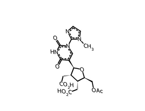 CC(=O)OC[C@@H]1O[C@H](c2cn(-c3nccn3C)c(=O)[nH]c2=O)[C@@H](CC(=O)O)[C@H]1CC(=O)O